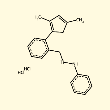 CC1=CC(C)=C(c2ccccc2[CH2][Ti][NH]c2ccccc2)C1.Cl.Cl